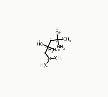 CN(C)CC(N)(O)CC(C)(N)O